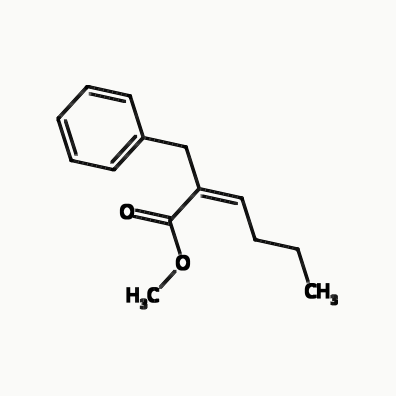 CCCC=C(Cc1ccccc1)C(=O)OC